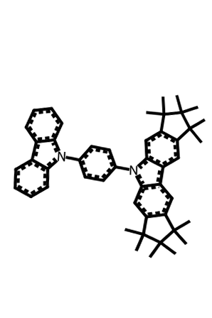 CC1(C)c2cc3c4cc5c(cc4n(-c4ccc(-n6c7ccccc7c7ccccc76)cc4)c3cc2C(C)(C)C1(C)C)C(C)(C)C(C)(C)C5(C)C